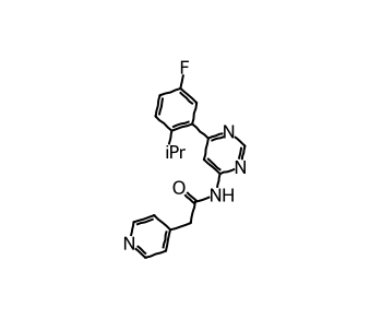 CC(C)c1ccc(F)cc1-c1cc(NC(=O)Cc2ccncc2)ncn1